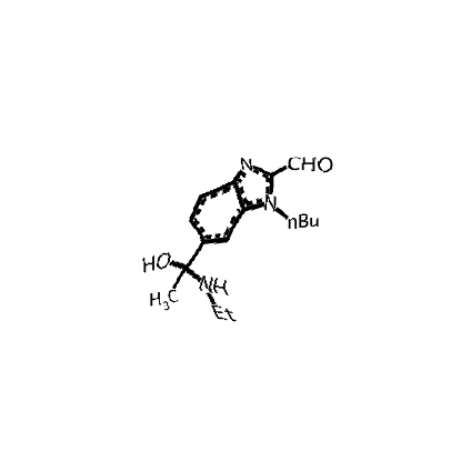 CCCCn1c(C=O)nc2ccc(C(C)(O)NCC)cc21